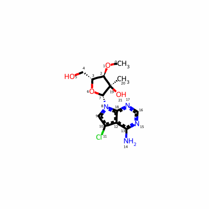 CO[C@@H]1[C@@H](CO)O[C@@H](n2cc(Cl)c3c(N)ncnc32)[C@]1(C)O